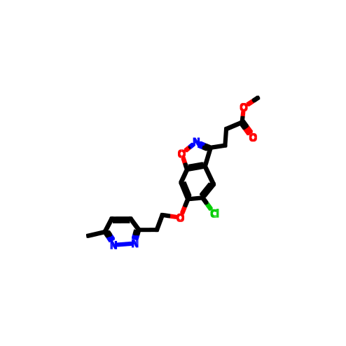 COC(=O)CCc1noc2cc(OCCc3ccc(C)nn3)c(Cl)cc12